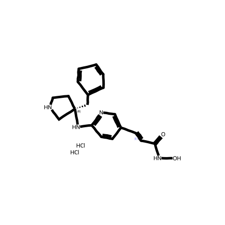 Cl.Cl.O=C(/C=C/c1ccc(N[C@]2(Cc3ccccc3)CCNC2)nc1)NO